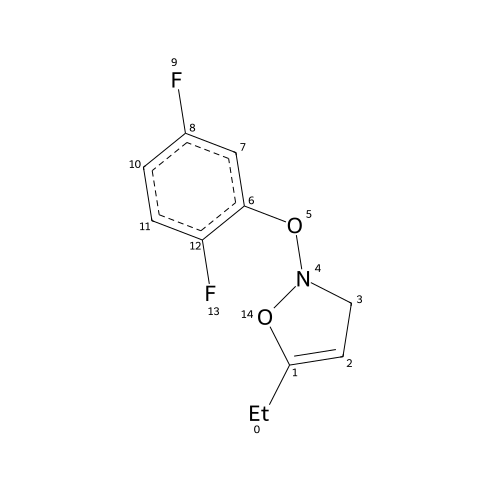 CCC1=CCN(Oc2cc(F)ccc2F)O1